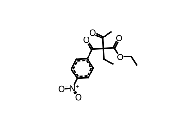 CCOC(=O)C(CC)(C(C)=O)C(=O)c1ccc([N+](=O)[O-])cc1